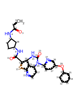 C=CC(=O)N[C@@H]1CC[C@H](NC(=O)c2sc3nccc4c3c2NC(=O)N4c2ccc(Oc3ccccc3)cn2)C1